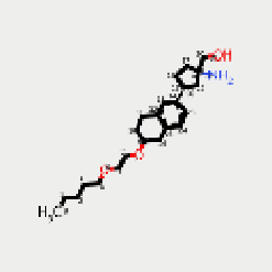 CCCCCOCCOC1CCc2cc([C@H]3CC[C@](N)(CO)C3)ccc2C1